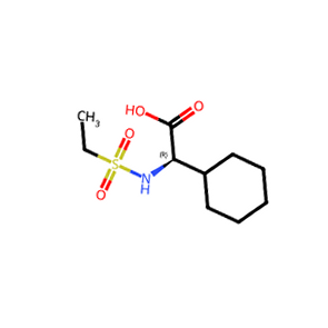 CCS(=O)(=O)N[C@@H](C(=O)O)C1CCCCC1